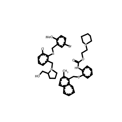 COc1ccc(Br)cc1CSc1c(Cl)cccc1CN1CCCC1CO.Cc1ccc2ccccc2c1CSc1ccccc1NC(=O)OCCN1CCCCC1